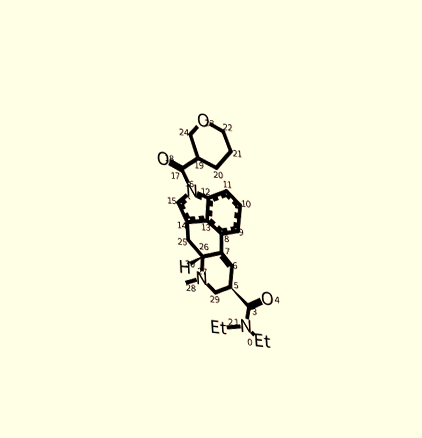 CCN(CC)C(=O)[C@@H]1C=C2c3cccc4c3c(cn4C(=O)C3CCCOC3)C[C@H]2N(C)C1